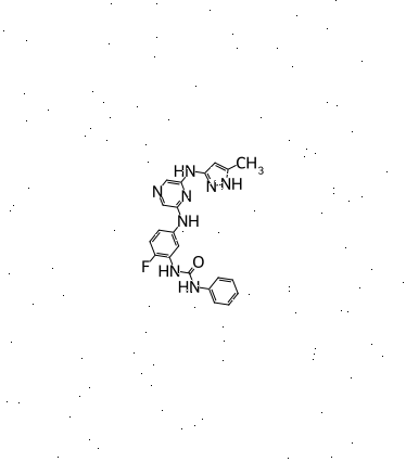 Cc1cc(Nc2cncc(Nc3ccc(F)c(NC(=O)Nc4ccccc4)c3)n2)n[nH]1